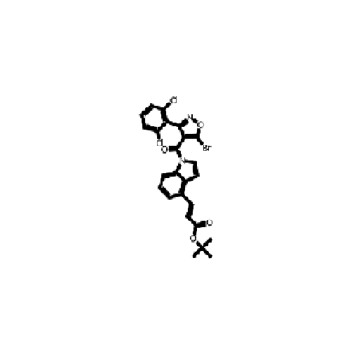 CC(C)(C)OC(=O)/C=C/c1cccc2c1ccn2C(=O)c1c(-c2c(Cl)cccc2Cl)noc1Br